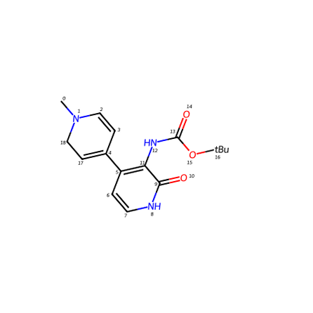 CN1C=CC(c2cc[nH]c(=O)c2NC(=O)OC(C)(C)C)=CC1